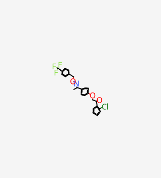 C/C(=N\OCc1ccc(C(F)(F)F)cc1)c1ccc(OCC(=O)c2ccccc2Cl)cc1